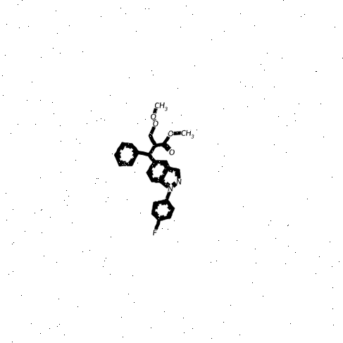 COOCC(C(=O)OC)C(c1ccccc1)c1ccc2c(cnn2-c2ccc(F)cc2)c1